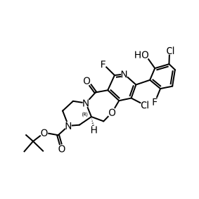 CC(C)(C)OC(=O)N1CCN2C(=O)c3c(F)nc(-c4c(F)ccc(Cl)c4O)c(Cl)c3OC[C@H]2C1